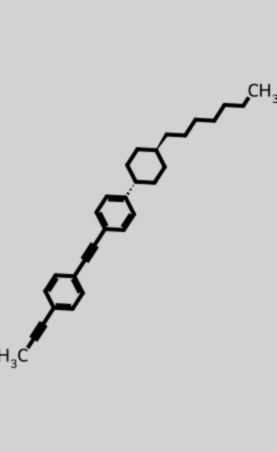 CC#Cc1ccc(C#Cc2ccc([C@H]3CC[C@H](CCCCCCC)CC3)cc2)cc1